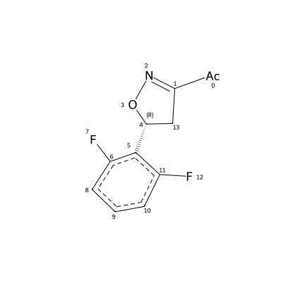 CC(=O)C1=NO[C@@H](c2c(F)cccc2F)C1